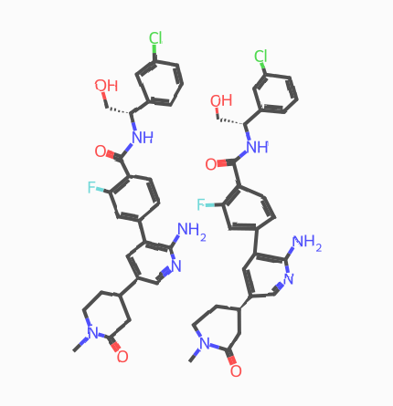 CN1CCC(c2cnc(N)c(-c3ccc(C(=O)N[C@H](CO)c4cccc(Cl)c4)c(F)c3)c2)CC1=O.CN1CC[C@@H](c2cnc(N)c(-c3ccc(C(=O)N[C@H](CO)c4cccc(Cl)c4)c(F)c3)c2)CC1=O